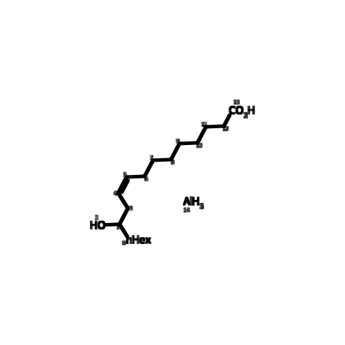 CCCCCCC(O)C/C=C\CCCCCCCC(=O)O.[AlH3]